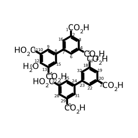 O.O=C(O)c1cc(C(=O)O)cc(-c2cc(C(=O)O)cc(C(=O)O)c2)c1.O=C(O)c1cc(C(=O)O)cc(-c2cc(C(=O)O)cc(C(=O)O)c2)c1